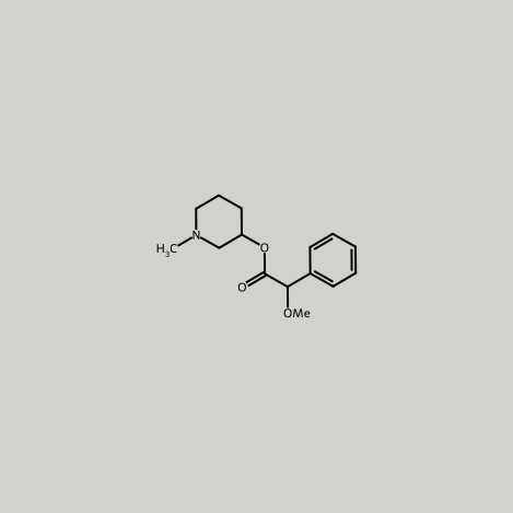 COC(C(=O)OC1CCCN(C)C1)c1ccccc1